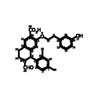 Cc1ccc(C2c3cc(OCCc4cccc(O)c4)c(C(=O)O)cc3CCN2C=O)c(C)c1